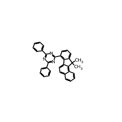 CC1(C)c2cccc(-c3nc(-c4ccccc4)nc(-c4ccccc4)n3)c2-c2ccc3ccccc3c21